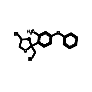 CCC1COC(CBr)(c2ccc(Oc3ccccc3)cc2C)O1